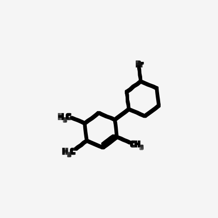 CC1=CC(C)C(C)CC1C1CCCC(Br)C1